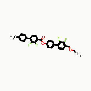 CCOCc1ccc(-c2ccc(OC(=O)c3ccc(-c4ccc(C)cc4)c(F)c3F)cc2)c(F)c1F